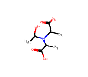 CC(O)N(C(C)C(=O)O)C(C)C(=O)O